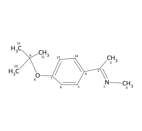 C/N=C(\C)c1ccc(OC(C)(C)C)cc1